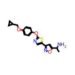 CC(N)c1cc(-c2cnc(Oc3ccc(OCC4CC4)cc3)s2)no1